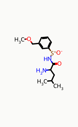 COCc1cccc([S+]([O-])NC(=O)C(N)CC(C)C)c1